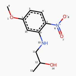 COc1ccc([N+](=O)[O-])c(NCC(C)O)c1